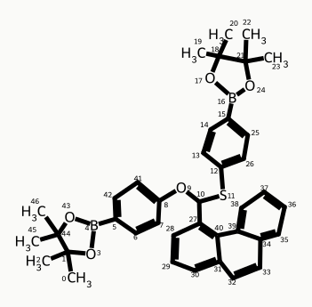 CC1(C)OB(c2ccc(OC(Sc3ccc(B4OC(C)(C)C(C)(C)O4)cc3)c3cccc4ccc5ccccc5c34)cc2)OC1(C)C